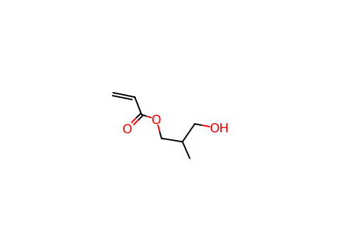 C=CC(=O)OCC(C)CO